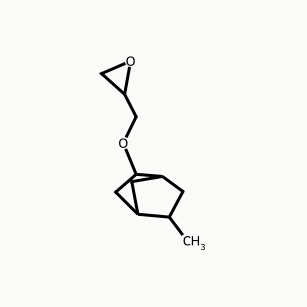 CC1CC2CC1CC2OCC1CO1